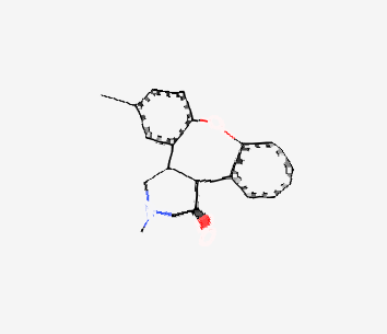 Cc1ccc2c(c1)C1CN(C)C(=O)C1c1ccccc1O2